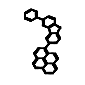 c1ccc(-c2ccc3sc4ccc(-c5ccc6ccc7cccc8ccc5c6c78)cc4c3c2)cc1